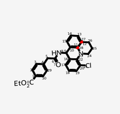 CCOC(=O)c1ccc(CC(=O)NC(c2ccccc2)c2cccc(Cl)c2N2CCCCC2)cc1